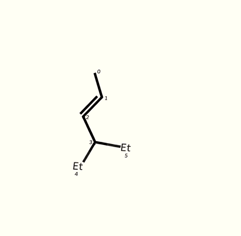 C/C=C/[C](CC)CC